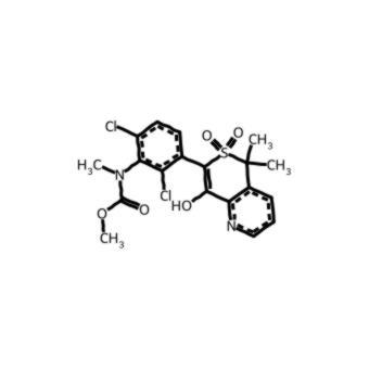 COC(=O)N(C)c1c(Cl)ccc(C2=C(O)c3ncccc3C(C)(C)S2(=O)=O)c1Cl